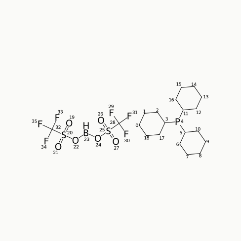 C1CCC(P(C2CCCCC2)C2CCCCC2)CC1.O=S(=O)(OBOS(=O)(=O)C(F)(F)F)C(F)(F)F